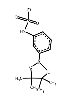 CCS(=O)(=O)Nc1cccc(B2OC(C)(C)C(C)(C)O2)c1